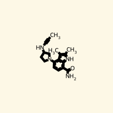 CC#CNC1CCN(c2ccc(C(N)=O)c3[nH]c(C)c(C)c23)C1